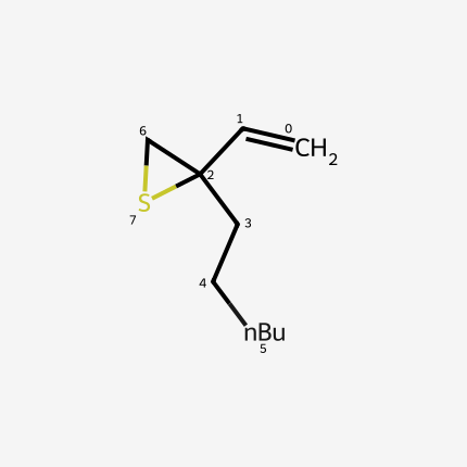 C=CC1(CCCCCC)CS1